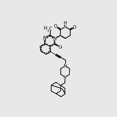 Cc1nc2cccc(C#CCN3CCN(CC45CC6CC(CC(C6)C4)C5)CC3)c2c(=O)n1C1CCC(=O)NC1=O